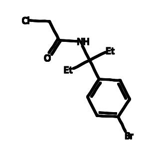 CCC(CC)(NC(=O)CCl)c1ccc(Br)cc1